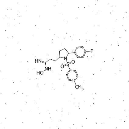 Cc1ccc(S(=O)(=O)N2C(CCC(=N)NO)CCC2c2ccc(F)cc2)cc1